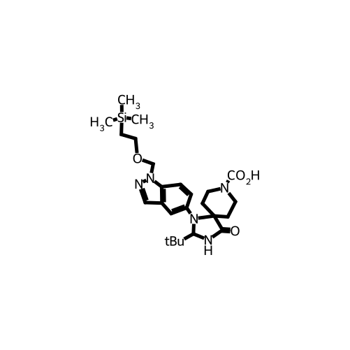 CC(C)(C)C1NC(=O)C2(CCN(C(=O)O)CC2)N1c1ccc2c(cnn2COCC[Si](C)(C)C)c1